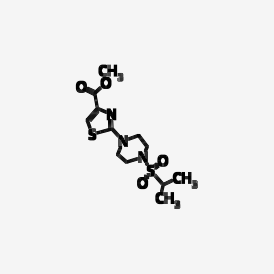 COC(=O)c1csc(N2CCN(S(=O)(=O)C(C)C)CC2)n1